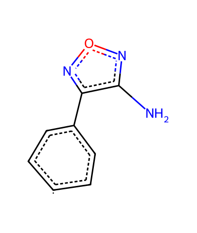 Nc1nonc1-c1cc[c]cc1